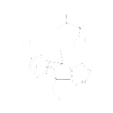 CCC12c3ccccc3C(CC)(c3cc(SC)ccc31)N2C.O.O=C(O)C(=O)O